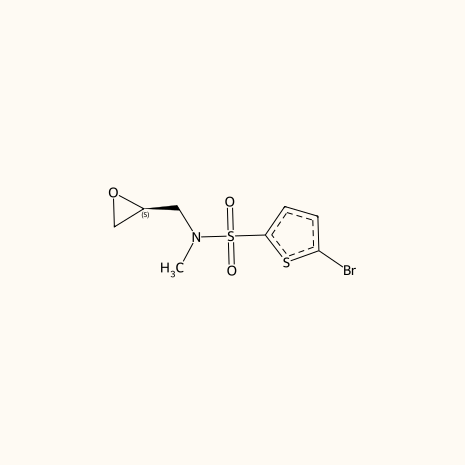 CN(C[C@H]1CO1)S(=O)(=O)c1ccc(Br)s1